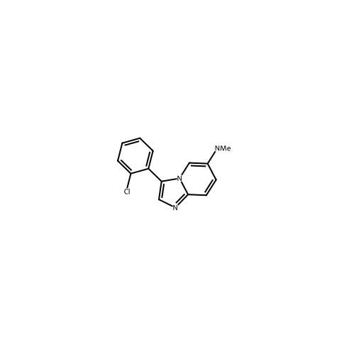 CNc1ccc2ncc(-c3ccccc3Cl)n2c1